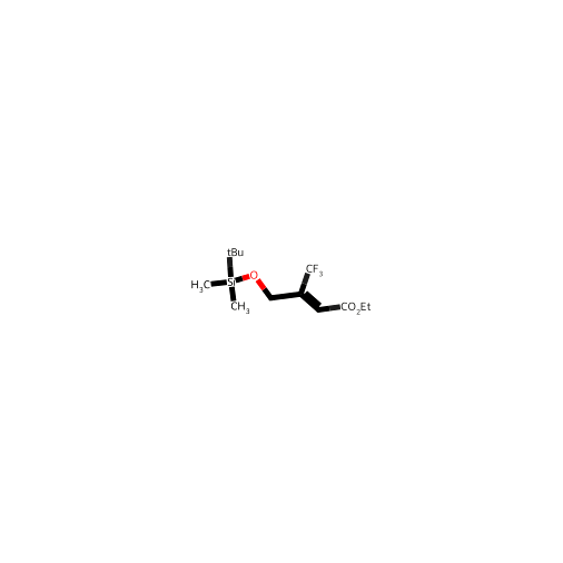 CCOC(=O)/C=C(/CO[Si](C)(C)C(C)(C)C)C(F)(F)F